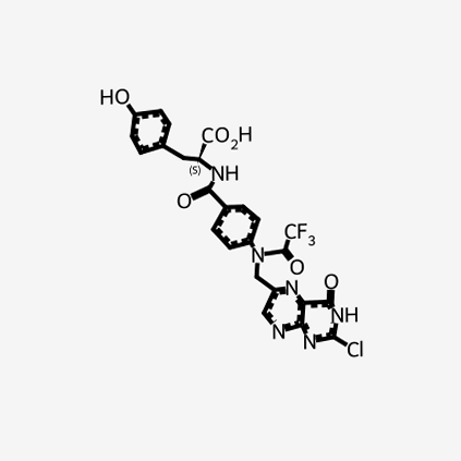 O=C(N[C@@H](Cc1ccc(O)cc1)C(=O)O)c1ccc(N(Cc2cnc3nc(Cl)[nH]c(=O)c3n2)C(=O)C(F)(F)F)cc1